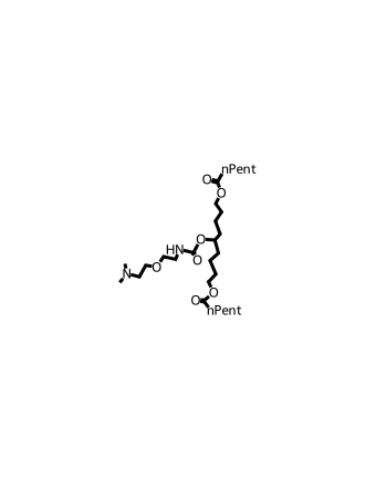 CCCCCC(=O)OCCCCC(CCCCOC(=O)CCCCC)OC(=O)NCCOCCN(C)C